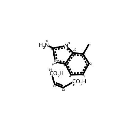 Cc1cccc2sc(N)nc12.O=C(O)/C=C\C(=O)O